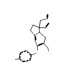 C=CCC1(C=O)CCC2=CC(Nc3ccc(F)cc3)=C(CN)C[C@@]21C